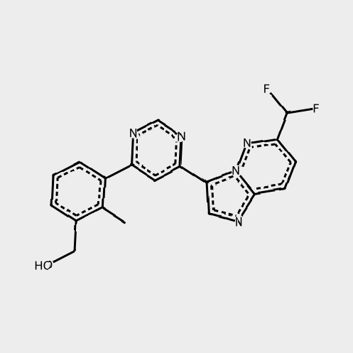 Cc1c(CO)cccc1-c1cc(-c2cnc3ccc(C(F)F)nn23)ncn1